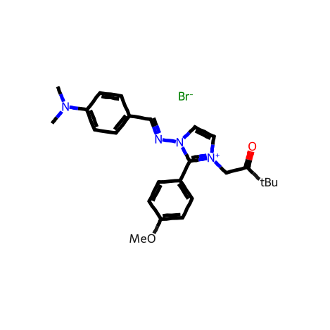 COc1ccc(-c2n(N=Cc3ccc(N(C)C)cc3)cc[n+]2CC(=O)C(C)(C)C)cc1.[Br-]